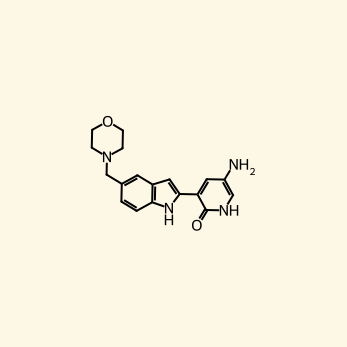 Nc1c[nH]c(=O)c(-c2cc3cc(CN4CCOCC4)ccc3[nH]2)c1